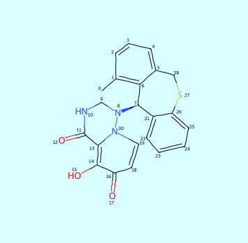 Cc1cccc2c1[C@H](N1CNC(=O)c3c(O)c(=O)ccn31)c1ccccc1SC2